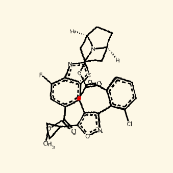 COC(=O)c1cc(F)c2nc(N3[C@@H]4CC[C@H]3CC(OC(=O)Cc3c(-c5c(Cl)cccc5Cl)noc3C3CC3)C4)sc2c1